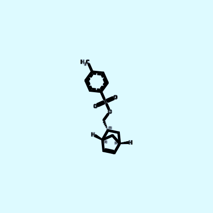 Cc1ccc(S(=O)(=O)OC[C@@H]2C[C@@H]3C=C[C@H]2C3)cc1